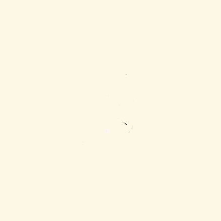 C/C=C/[C@H](S)c1ccccc1